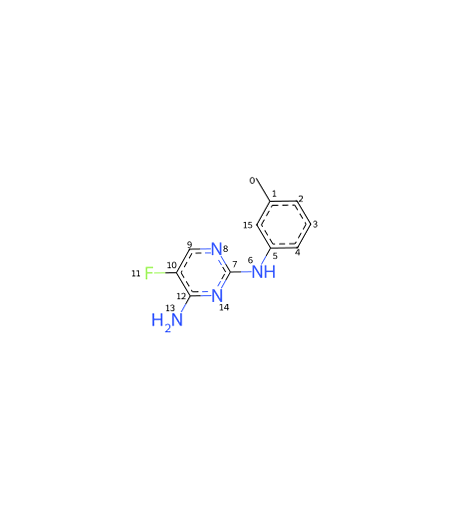 Cc1cccc(Nc2ncc(F)c(N)n2)c1